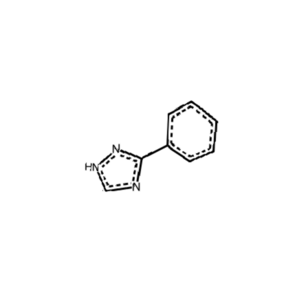 [c]1nc(-c2ccccc2)n[nH]1